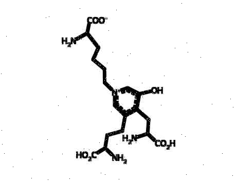 NC(CCCC[n+]1cc(O)c(CC(N)C(=O)O)c(CCC(N)C(=O)O)c1)C(=O)[O-]